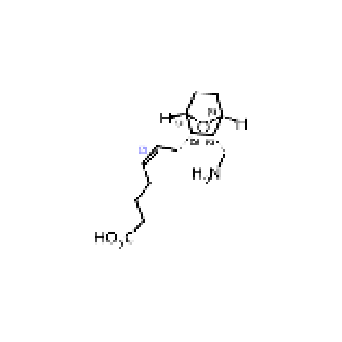 NC[C@@H]1[C@H](C/C=C\CCCC(=O)O)[C@@H]2CC[C@H]1O2